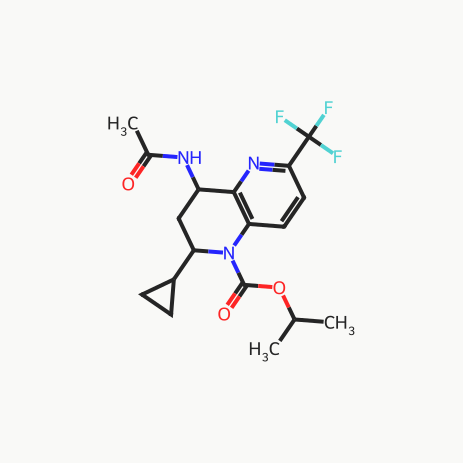 CC(=O)NC1CC(C2CC2)N(C(=O)OC(C)C)c2ccc(C(F)(F)F)nc21